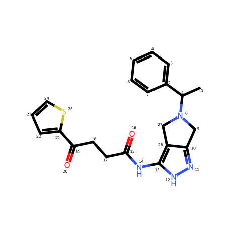 CC(c1ccccc1)N1Cc2n[nH]c(NC(=O)CCC(=O)c3cccs3)c2C1